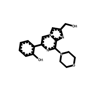 OCc1cn2cc(-c3ccccc3O)nc(N3CCOCC3)c2n1